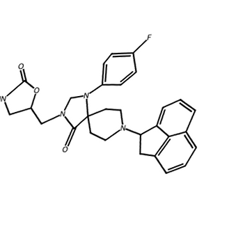 O=C1NCC(CN2CN(c3ccc(F)cc3)C3(CCN(C4Cc5cccc6cccc4c56)CC3)C2=O)O1